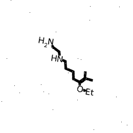 CCOC(CCCCNCCN)=C(C)C